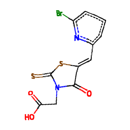 O=C(O)CN1C(=O)C(=Cc2cccc(Br)n2)SC1=S